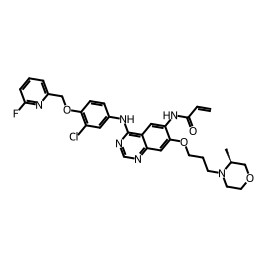 C=CC(=O)Nc1cc2c(Nc3ccc(OCc4cccc(F)n4)c(Cl)c3)ncnc2cc1OCCCN1CCOC[C@@H]1C